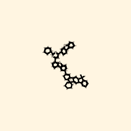 CC1(C)c2ccccc2C2C=C3C(=CC21)C1=C(CCC(c2ccc4sc5c(-c6cc(-c7ccc8c(c7)oc7ccccc78)nc(-c7ccccc7)n6)cccc5c4c2)=C1)C31CCCCC1